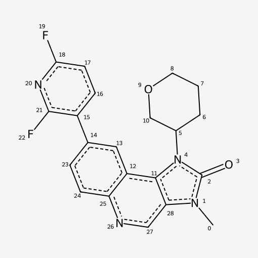 Cn1c(=O)n(C2CCCOC2)c2c3cc(-c4ccc(F)nc4F)ccc3ncc21